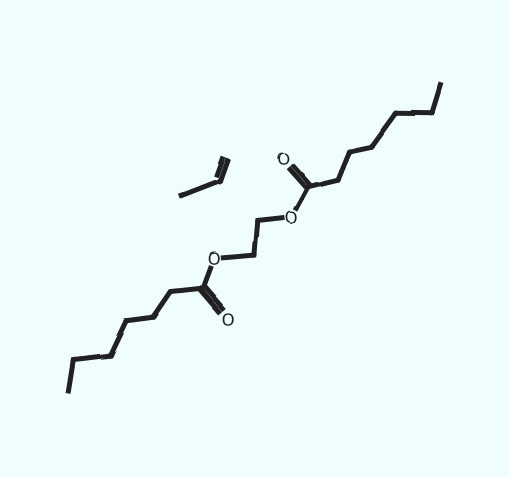 C=CC.CCCCCCC(=O)OCCOC(=O)CCCCCC